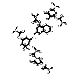 CN(C)C(=O)OC1=CC(=O)CC(C)(C)C1.Cc1cc(OC(=O)N(C)C)c2c(n1)CCCC2.Cc1cc(OC(=O)N(C)C)nn1C(=O)N(C)C.Cc1nc(N(C)C)nc(OC(=O)N(C)C)c1C